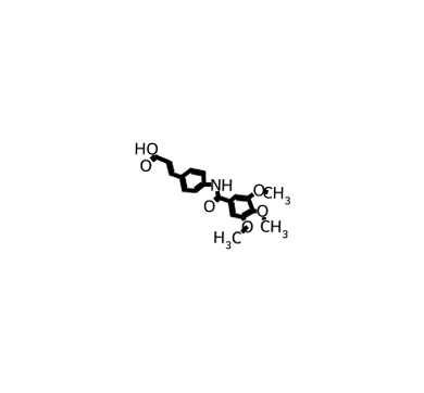 COc1cc(C(=O)Nc2ccc(C=CC(=O)O)cc2)cc(OC)c1OC